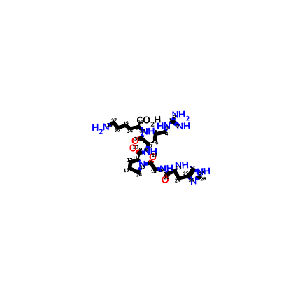 N=C(N)NCCC[C@H](NC(=O)[C@@H]1CCCN1C(=O)CNC(=O)[C@@H](N)Cc1c[nH]cn1)C(=O)N[C@@H](CCCCN)C(=O)O